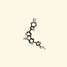 CCN1CCc2sc(-c3cnc4[nH]c5cnc(C6C=NN(C)C6)cc5c4c3)cc2C1